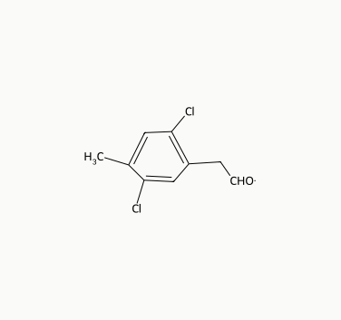 Cc1cc(Cl)c(C[C]=O)cc1Cl